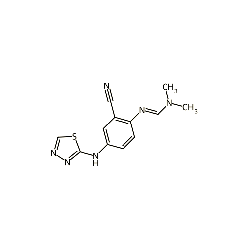 CN(C)/C=N/c1ccc(Nc2nncs2)cc1C#N